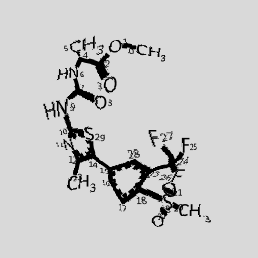 COC(=O)[C@@H](C)NC(=O)Nc1nc(C)c(-c2ccc(S(C)(=O)=O)c(C(F)(F)F)c2)s1